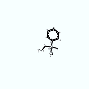 CC(C)C[Si](C)(Cl)c1ccccc1